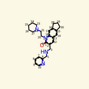 O=c1c(CNCc2ccccn2)cc2cc3c(cc2n1CCN1CCCCC1)CCC3